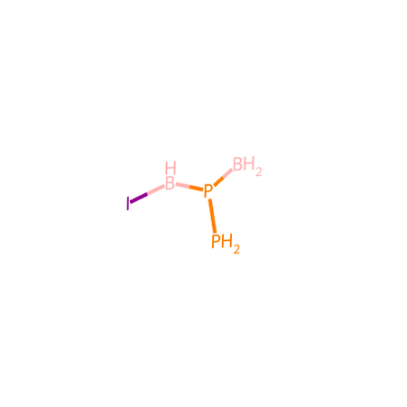 BP(P)BI